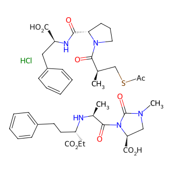 CC(=O)SC[C@@H](C)C(=O)N1CCC[C@H]1C(=O)N[C@@H](Cc1ccccc1)C(=O)O.CCOC(=O)[C@H](CCc1ccccc1)N[C@@H](C)C(=O)N1C(=O)N(C)C[C@H]1C(=O)O.Cl